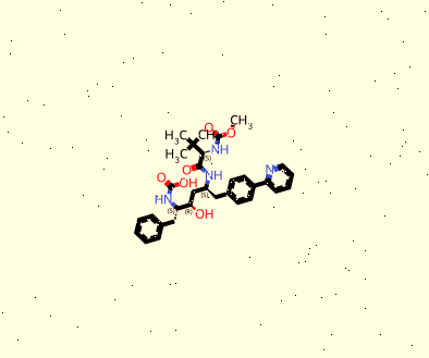 COC(=O)N[C@H](C(=O)N[C@@H](Cc1ccc(-c2ccccn2)cc1)C[C@@H](O)[C@H](Cc1ccccc1)NC(=O)O)C(C)(C)C